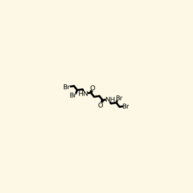 O=C(CCC(=O)NCC(Br)CBr)NCC(Br)CBr